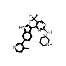 Cc1ccncc1-c1ccc2c(-c3nc(N[C@H]4CCCNC4)ncc3C(F)(F)F)c[nH]c2c1